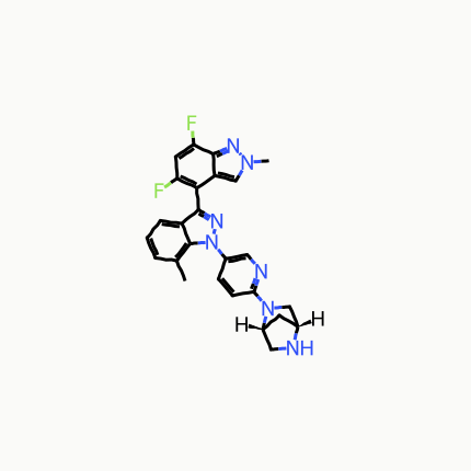 Cc1cccc2c(-c3c(F)cc(F)c4nn(C)cc34)nn(-c3ccc(N4C[C@H]5C[C@@H]4CN5)nc3)c12